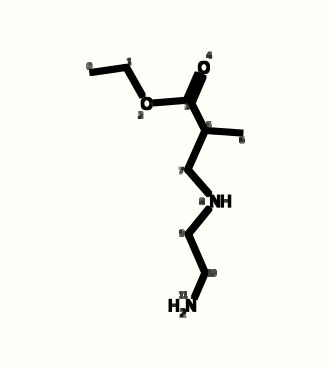 CCOC(=O)C(C)CNCCN